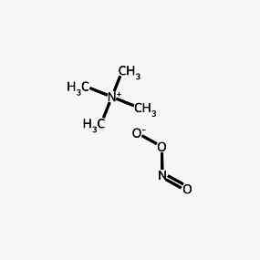 C[N+](C)(C)C.O=NO[O-]